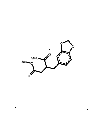 COC(=O)C(CC(=O)OC(C)(C)C)Cc1ccc2c(c1)OCO2